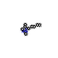 c1ccc2cc(-c3ccc4cc(-c5ccc6c(c5)c5c7ccccc7ccc5n6-c5nc6ccccc6c6nc7ccccc7n56)ccc4c3)ccc2c1